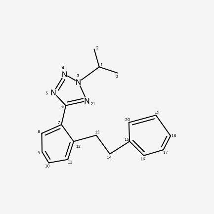 CC(C)n1nnc(-c2ccccc2CCc2ccccc2)n1